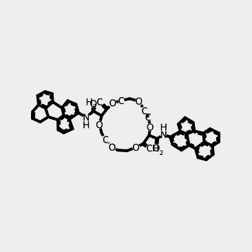 C=C1OCCOCCOC(C(=O)Nc2ccc3c4cccc5cccc(c6cccc2c63)c54)C(=C)OCCOCCOC1C(=O)Nc1ccc2c3c(cccc13)C1CC=Cc3cccc-2c31